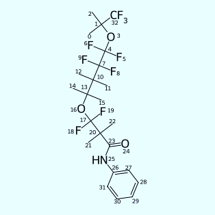 CC(C)(OC(F)(F)C(F)(F)C(C)(C)C(C)(C)OC(F)(F)C(C)(C)C(=O)Nc1ccccc1)C(F)(F)F